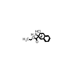 CCOC(=O)C1(N)CC2CCC1c1ccccc12.Cl